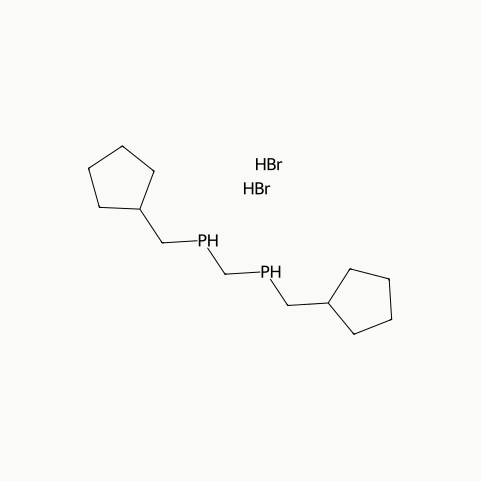 Br.Br.C1CCC(CPCPCC2CCCC2)C1